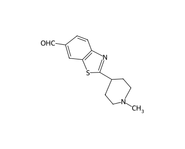 CN1CCC(c2nc3ccc(C=O)cc3s2)CC1